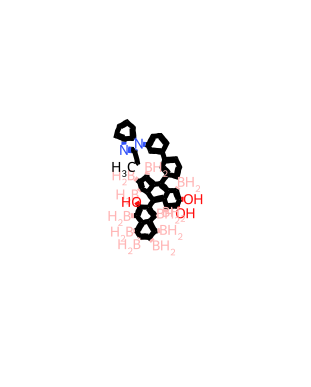 BC1=C(B)C2C(=C1B)C(c1cccc(-c3cccc(-n4c(CC)nc5ccccc54)c3)c1)=c1c(B)c(O)c(O)c(B)c1=C2c1c(O)c(B)c2c(B)c(B)c(B)c(B)c2c1B